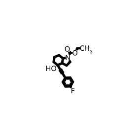 CCOC(=O)N1CCC2C1CCCC2(O)C#Cc1ccc(F)cc1